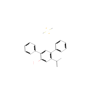 CC(C)c1cc(O)c(-c2ccccc2)cc1-c1ccccc1.CS(C)(=O)=O